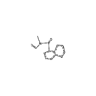 CN(C=O)C(=O)c1cccc2ccccc12